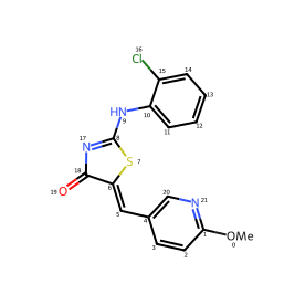 COc1ccc(/C=C2\SC(Nc3ccccc3Cl)=NC2=O)cn1